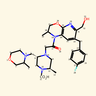 CC1COCCN1C[C@H]1CN(C(=O)O)[C@H](C)CN1CC(=O)N1c2cc(Cc3ccc(F)cc3)c(CO)nc2OCC1C